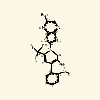 [2H]C1=C(c2ccccc2OC)C=C(C(F)(F)F)N(c2nc3ncc(Br)nc3s2)C1